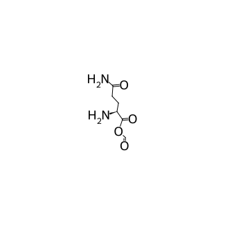 NC(=O)CC[C@H](N)C(=O)OC=O